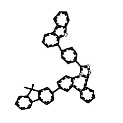 CC1(C)c2ccccc2-c2ccc(-c3ccc4c(c3)c3ccccc3c3nnc(-c5ccc(-c6cccc7c6oc6ccccc67)cc5)n43)cc21